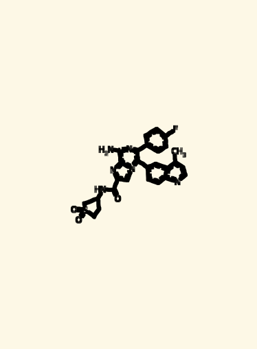 Cc1ccnc2ccc(-c3c(-c4ccc(F)cc4)nc(N)c4nc(C(=O)NC5CCS(=O)(=O)C5)cn34)cc12